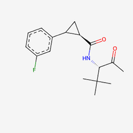 CC(=O)[C@@H](NC(=O)[C@@H]1CC1c1cccc(F)c1)C(C)(C)C